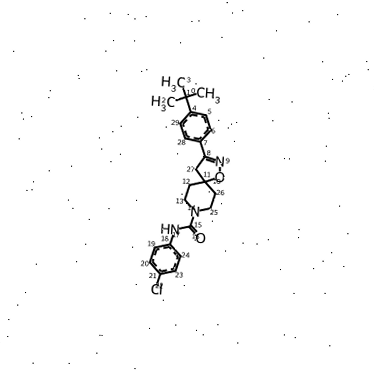 CC(C)(C)c1ccc(C2=NOC3(CCN(C(=O)Nc4ccc(Cl)cc4)CC3)C2)cc1